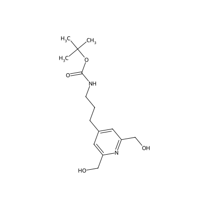 CC(C)(C)OC(=O)NCCCc1cc(CO)nc(CO)c1